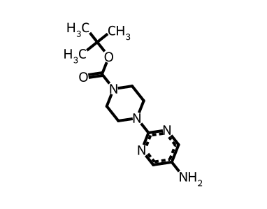 CC(C)(C)OC(=O)N1CCN(c2ncc(N)cn2)CC1